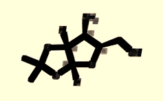 CC1(C)O[C@H]2O[C@H](CO)[C@H](N)[C@H]2O1